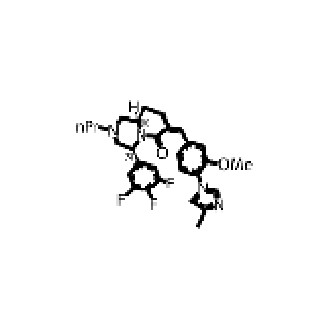 CCCN1C[C@H]2CCC(=Cc3ccc(-n4cnc(C)c4)c(OC)c3)C(=O)N2[C@@H](c2cc(F)c(F)c(F)c2)C1